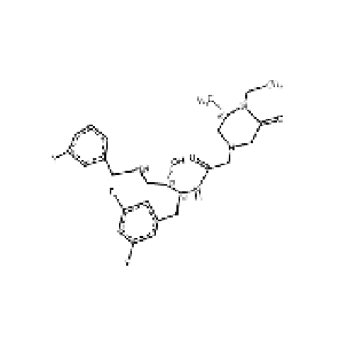 CCN1C(=O)CN(CC(=O)N[C@@H](Cc2cc(F)cc(F)c2)[C@@H](O)CNCc2cccc(I)c2)C[C@@H]1C